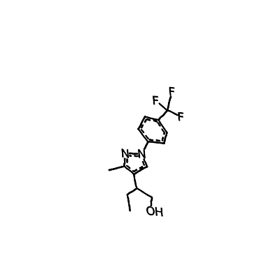 CCC(CO)c1cn(-c2ccc(C(F)(F)F)cc2)nc1C